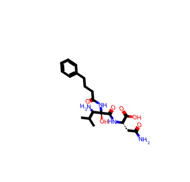 CC(C)C(N)[C@](O)(NC(=O)CCCc1ccccc1)C(=O)N[C@@H](CC(N)=O)C(=O)O